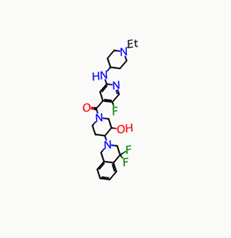 CCN1CCC(Nc2cc(C(=O)N3CCC(N4Cc5ccccc5C(F)(F)C4)C(O)C3)c(F)cn2)CC1